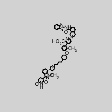 Cc1c(OC2CCC(CCCCN3CC[C@@H](c4cccc5c(C6CCC(=O)NC6=O)nn(C)c45)C3)CC2)cccc1-c1ccc(N2CCc3cccc(C(=O)Nc4nc5ccccc5s4)c3C2)nc1C(=O)O